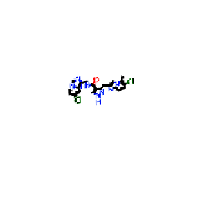 Cc1c(Cl)ccc2nc(Cc3n[nH]cc3C(=O)NCc3ncn4ccc(Cl)cc34)cn12